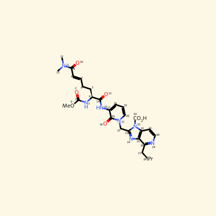 COC(=O)N[C@@H](CC/C=C/C(=O)N(C)C)C(=O)Nc1cccn(Cc2nc3c(CC(C)C)nccc3n2C(=O)O)c1=O